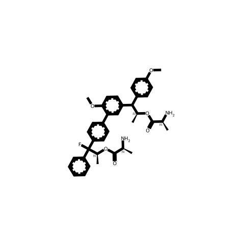 COc1ccc(C(c2ccc(OC)c(-c3ccc(C(F)(c4ccccc4)[C@H](C)OC(=O)[C@H](C)N)cc3)c2)[C@H](C)OC(=O)[C@H](C)N)cc1